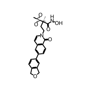 C[C@@](CCn1ccc2cc(-c3ccc4c(c3)COC4)ccc2c1=O)(C(=O)NO)S(C)(=O)=O